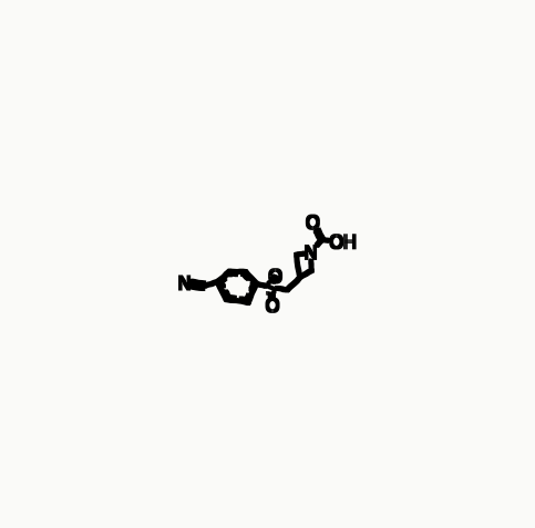 N#Cc1ccc(S(=O)(=O)CC2CN(C(=O)O)C2)cc1